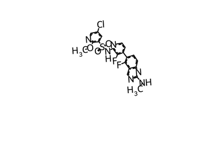 CNc1ncc2c(F)c(-c3ccnc(NS(=O)(=O)c4cc(Cl)cnc4OC)c3F)ccc2n1